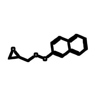 c1ccc2cc(OOCC3CO3)ccc2c1